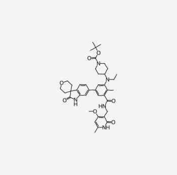 CCN(c1cc(-c2ccc3c(c2)NC(=O)C32CCOCC2)cc(C(=O)NCc2c(OC)cc(C)[nH]c2=O)c1C)C1CCN(C(=O)OC(C)(C)C)CC1